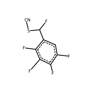 N#CSC(F)c1cc(F)c(F)c(F)c1F